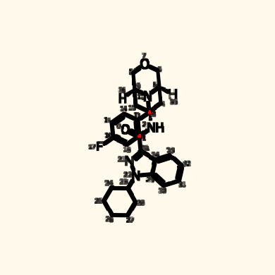 O=C(N[C@H]1C[C@H]2COC[C@@H](C1)N2Cc1ccc(F)cc1)c1nn(C2CCCCC2)c2ccccc12